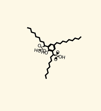 CCCCCCCCCc1cc(C(CCCCCCCC)S(=O)(=O)O)c(O)c(C(CCCCCCCC)S(=O)(=O)O)c1